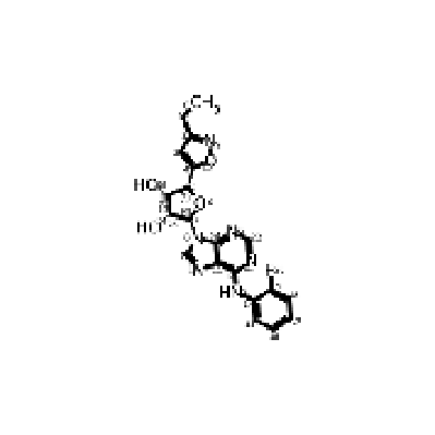 CCc1cc([C@H]2O[C@@H](n3cnc4c(Nc5ccccc5F)ncnc43)[C@H](O)[C@@H]2O)on1